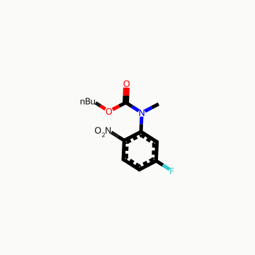 CCCCOC(=O)N(C)c1cc(F)ccc1[N+](=O)[O-]